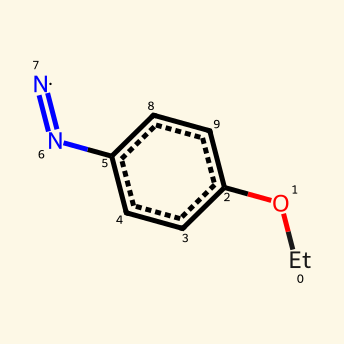 CCOc1ccc(N=[N])cc1